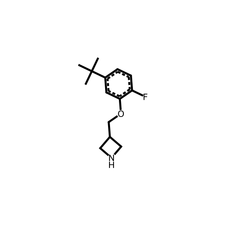 CC(C)(C)c1ccc(F)c(OCC2CNC2)c1